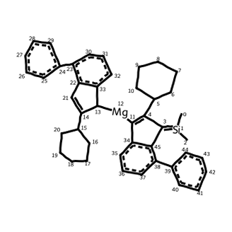 C[Si](C)=C1C(C2CCCCC2)=[C]([Mg][CH]2C(C3CCCCC3)=Cc3c(-c4ccccc4)cccc32)c2cccc(-c3ccccc3)c21